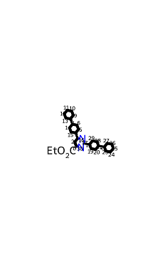 CCOC(=O)c1cc(-c2ccc(-c3ccccc3)cc2)nc(-c2ccc(-c3ccccc3)cc2)n1